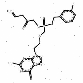 C=CCC(=O)COP(=O)(COCCn1cnc2c(=O)[nH]c(N)nc21)OCc1cccc(F)c1